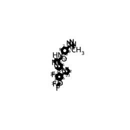 Cn1nnnc1C1CCC(NC(=O)c2cnn3ccc(N4CCC[C@@H]4c4cc(F)cc(OC(F)F)c4)cc23)CC1